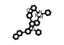 c1ccc(-c2nc(-c3ccccc3)nc(-c3cccc4oc5ccc(-c6ccc7c(c6)c6cc(-c8ccc9ccccc9c8)ccc6n7-c6ccccc6)cc5c34)n2)cc1